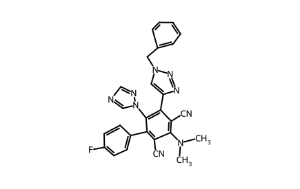 CN(C)c1c(C#N)c(-c2ccc(F)cc2)c(-n2cncn2)c(-c2cn(Cc3ccccc3)nn2)c1C#N